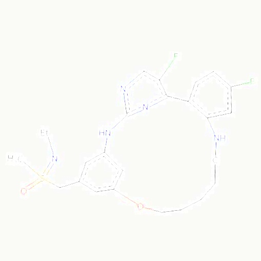 CCN=S(C)(=O)Cc1cc2cc(c1)OCCCCCNc1cc(F)ccc1-c1nc(ncc1F)N2